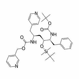 CC(C)(C)OC(=O)N[C@@H](Cc1ccccc1)[C@H](C[C@H](Cc1ccncc1)NC(=O)OCc1cccnc1)O[Si](C)(C)C(C)(C)C